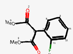 COC(=O)C(C(=O)OC)c1ccccc1F